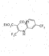 CCOC(=O)C(C(=O)OCC)=C(Nc1cccc(C(F)(F)F)c1)C(F)(F)F